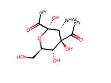 CCCC(=O)[C@]1(O)[C@H](O)[C@@H](CO)O[C@@](O)(C(=O)CCC)[C@@H]1NC(C)=O